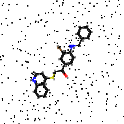 O=C(CSc1ccnc2ccccc12)c1ccc(NCc2ccccc2)c(Br)c1